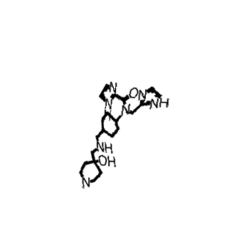 CN1CCC(O)(CNCC2CCC(N(Cc3ncc[nH]3)C(=O)c3ncc[nH]3)CC2)CC1